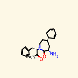 CNC(=O)[C@H](Cc1ccccc1)N1CCC([C@H]2C=CC=CC2)C[C@H](N)C1=O